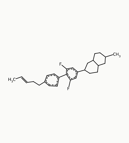 C/C=C/CCc1ccc(-c2c(F)cc(C3CCC4CC(C)CCC4C3)cc2F)cc1